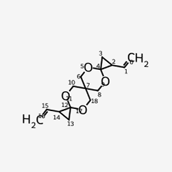 C=CC1CC12OCC1(CO2)COC2(CC2C=C)OC1